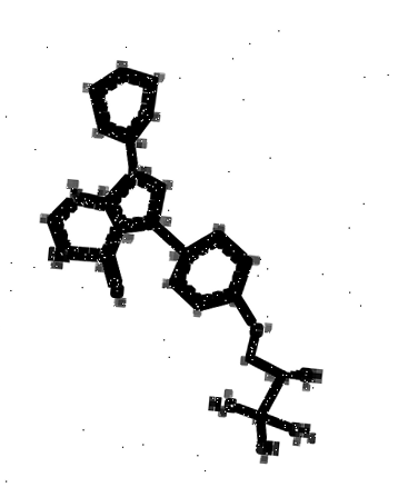 CC(C)(O)[C@@H](O)COc1ccc(-c2cn(-c3ccccc3)c3nc[nH]c(=O)c23)cc1